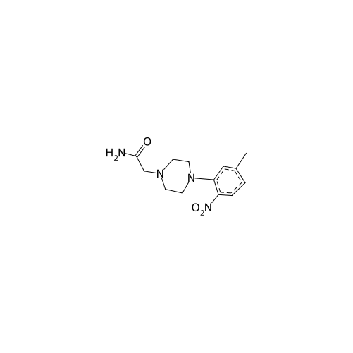 Cc1ccc([N+](=O)[O-])c(N2CCN(CC(N)=O)CC2)c1